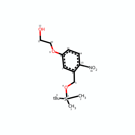 CC(C)(C)[Si](C)(C)OCc1cc(OCCO)ccc1[N+](=O)[O-]